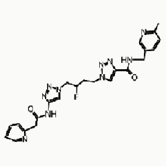 Cc1ccc(CNC(=O)c2cn(CCC(F)Cn3cc(NC(=O)Cc4ccccn4)nn3)nn2)cn1